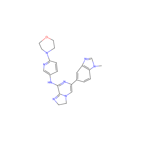 Cn1cnc2cc(C3=CN4CCN=C4C(Nc4ccc(N5CCOCC5)nc4)=N3)ccc21